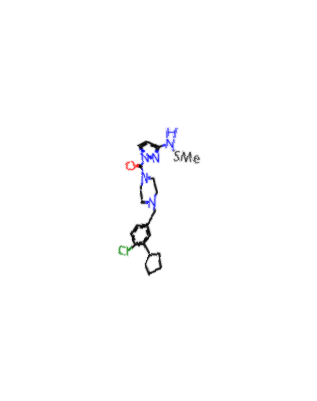 CSNc1ccn(C(=O)N2CCN(Cc3ccc(Cl)c(C4CCCC4)c3)CC2)n1